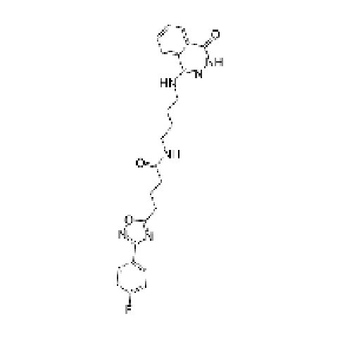 O=C(CCCc1nc(-c2ccc(F)cc2)no1)NCCCCNc1n[nH]c(=O)c2ccccc12